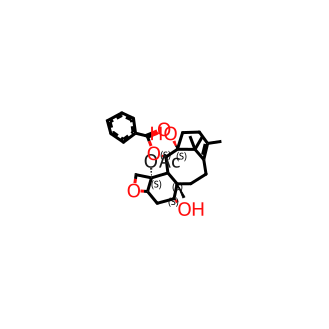 CC(=O)O[C@@]12COC1C[C@H](O)[C@@]1(C)CCC3=C(C)CC[C@@](O)([C@@H](OC(=O)c4ccccc4)C21)C3(C)C